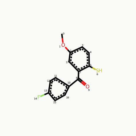 COc1ccc(S)c(C(=O)c2ccc(F)cc2)c1